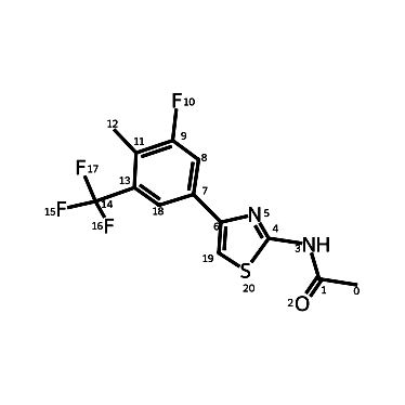 CC(=O)Nc1nc(-c2cc(F)c(C)c(C(F)(F)F)c2)cs1